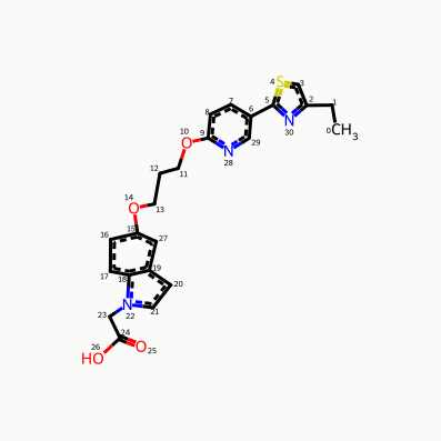 CCc1csc(-c2ccc(OCCCOc3ccc4c(ccn4CC(=O)O)c3)nc2)n1